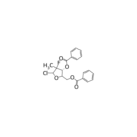 CC1(F)C(Cl)OC(COC(=O)c2ccccc2)[C@H]1OC(=O)c1ccccc1